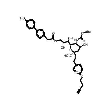 C#CCCOc1ccc(CO[C@]2(C(=O)O)C[C@H](O)[C@@H](NC(=O)OC(C)(C)C)[C@H]([C@H](O)[C@H](O)CNC(=O)Cc3ccc(-c4ccc(O)cc4)cc3)O2)cc1